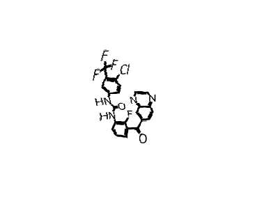 O=C(Nc1ccc(Cl)c(C(F)(F)F)c1)Nc1cccc(C(=O)c2ccc3nccnc3c2)c1F